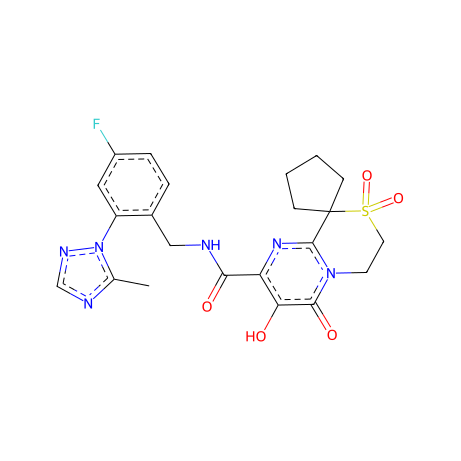 Cc1ncnn1-c1cc(F)ccc1CNC(=O)c1nc2n(c(=O)c1O)CCS(=O)(=O)C21CCCC1